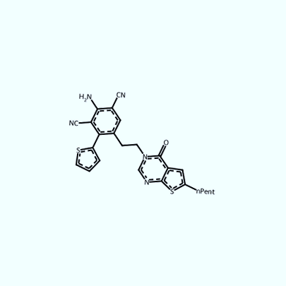 CCCCCc1cc2c(=O)n(CCc3cc(C#N)c(N)c(C#N)c3-c3cccs3)cnc2s1